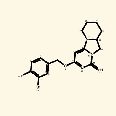 Fc1ccc(COc2cc3n(c(=P)n2)CC2CCCCN32)cc1Br